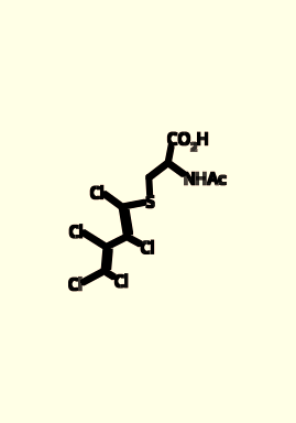 CC(=O)NC(CS/C(Cl)=C(\Cl)C(Cl)=C(Cl)Cl)C(=O)O